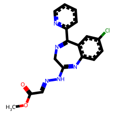 COC(=O)C=NNC1=Nc2ccc(Cl)cc2C(c2ccccn2)=NC1